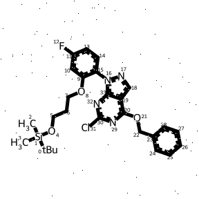 CC(C)(C)[Si](C)(C)OCCCOc1cc(F)ccc1-n1ncc2c(OCc3ccccc3)nc(Cl)nc21